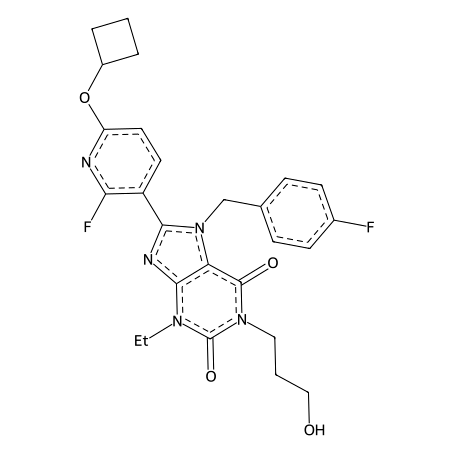 CCn1c(=O)n(CCCO)c(=O)c2c1nc(-c1ccc(OC3CCC3)nc1F)n2Cc1ccc(F)cc1